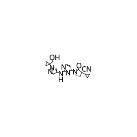 N#C[C@@]1(C2CC2)CCN(c2ccnc(Nc3cnn(C4(CO)CC4)c3)n2)C1=O